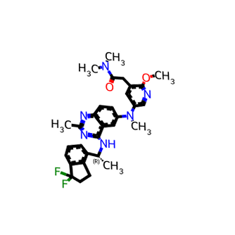 COc1ncc(N(C)c2ccc3nc(C)nc(N[C@H](C)c4cccc5c4CCC5(F)F)c3c2)cc1CC(=O)N(C)C